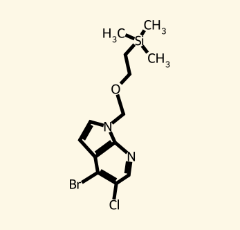 C[Si](C)(C)CCOCn1ccc2c(Br)c(Cl)cnc21